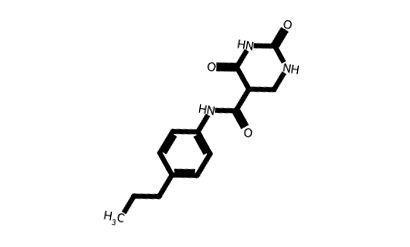 CCCc1ccc(NC(=O)C2CNC(=O)NC2=O)cc1